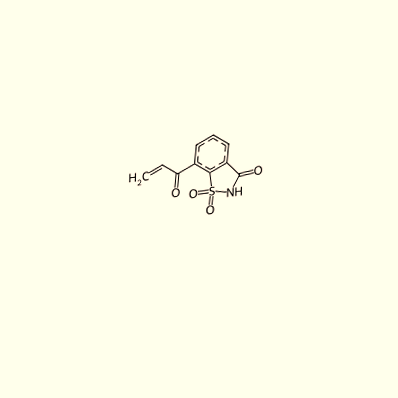 C=CC(=O)c1cccc2c1S(=O)(=O)NC2=O